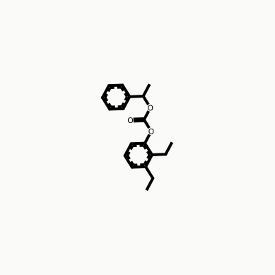 CCc1cccc(OC(=O)OC(C)c2ccccc2)c1CC